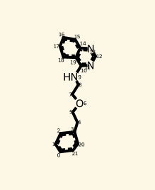 c1ccc(CCOCCNc2ncnc3ccccc23)cc1